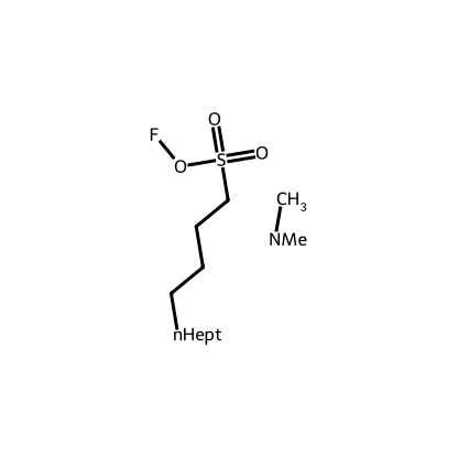 CCCCCCCCCCCS(=O)(=O)OF.CNC